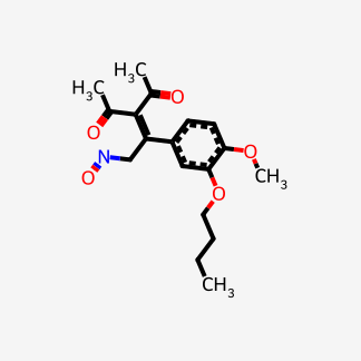 CCCCOc1cc(C(CN=O)=C(C(C)=O)C(C)=O)ccc1OC